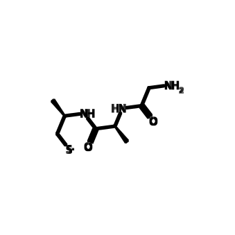 C[C@H](C[S])NC(=O)[C@H](C)NC(=O)CN